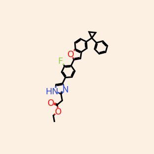 CCOC(=O)Cc1nc(-c2ccc(-c3cc4cc(C5(c6ccccc6)CC5)ccc4o3)c(F)c2)c[nH]1